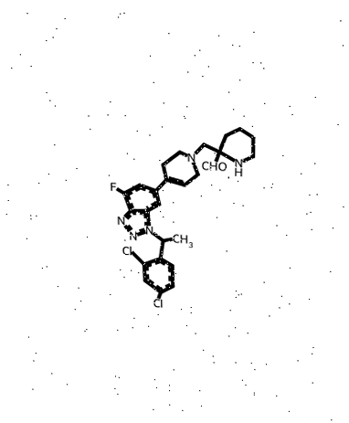 CC(c1ccc(Cl)cc1Cl)n1nnc2c(F)cc(C3=CCN(CC4(C=O)CCCCN4)CC3)cc21